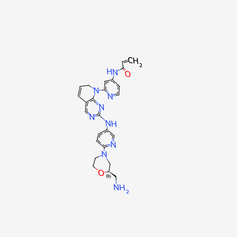 C=CC(=O)Nc1ccnc(N2CC=Cc3cnc(Nc4ccc(N5CCO[C@H](CN)C5)nc4)nc32)c1